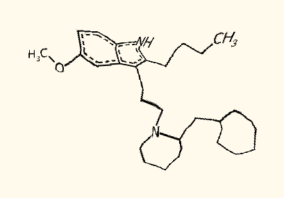 CCCCc1[nH]c2ccc(OC)cc2c1CCN1CCCCC1CC1CCCCC1